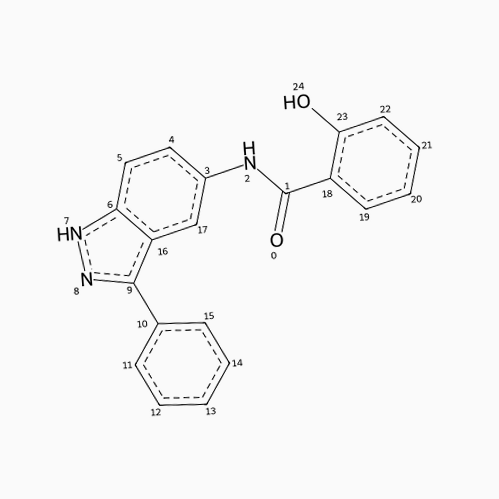 O=C(Nc1ccc2[nH]nc(-c3ccccc3)c2c1)c1ccccc1O